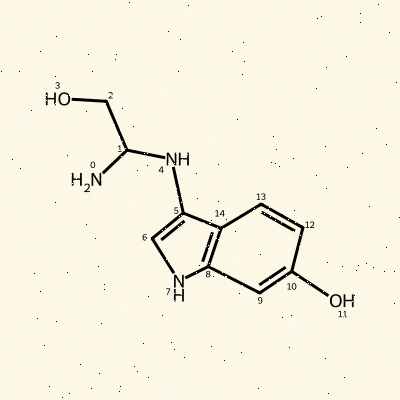 NC(CO)Nc1c[nH]c2cc(O)ccc12